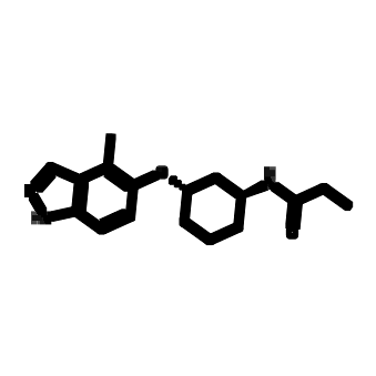 CCC(=O)N[C@H]1CCC[C@H](Oc2ccc3[nH]ncc3c2C)C1